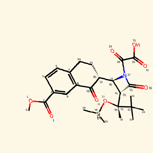 COC(=O)c1ccc2c(c1)C(=O)[C@@H]([C@@H]1[C@@H]([C@@](C)(O[SiH](C)C)C(C)(C)C)C(=O)N1C(=O)C(=O)O)CC2